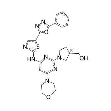 OC[C@@H]1CCN(c2nc(Nc3ncc(-c4nnc(-c5ccccc5)o4)s3)cc(N3CCOCC3)n2)C1